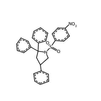 O=[N+]([O-])c1ccc(S(=O)(=O)N2CC(c3ccccc3)CC2(c2ccccc2)c2ccccc2)cc1